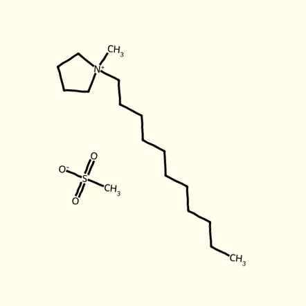 CCCCCCCCCCC[N+]1(C)CCCC1.CS(=O)(=O)[O-]